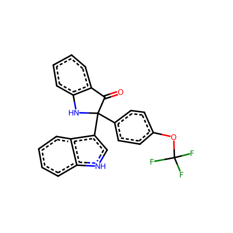 O=C1c2ccccc2NC1(c1ccc(OC(F)(F)F)cc1)c1c[nH]c2ccccc12